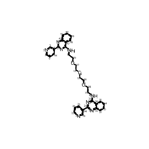 c1cncc(-c2nc(NCCOCCOCCOCCNc3nc(-c4cccnc4)nc4ccccc34)c3ccccc3n2)c1